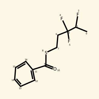 CC(F)C(F)(F)CCSC(=O)c1ccccc1